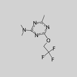 Cc1nc(OCC(F)(F)F)nc(N(C)C)n1